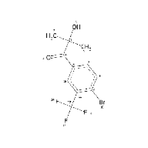 CC(C)(O)C(=O)c1ccc(Br)c(C(F)(F)F)c1